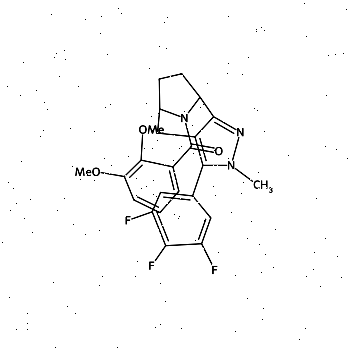 COc1cccc(C(=O)N2C3CCC2c2nn(C)c(-c4cc(F)c(F)c(F)c4)c2C3)c1OC